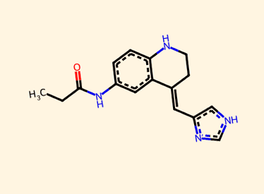 CCC(=O)Nc1ccc2c(c1)/C(=C/c1c[nH]cn1)CCN2